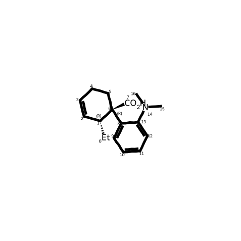 CC[C@@H]1C=CCC[C@]1(C(=O)O)c1ccccc1N(C)C